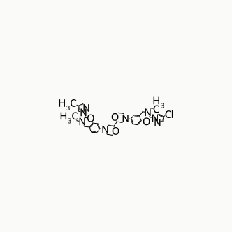 CCN(Cc1ccc(N2CCOC(C3CN(c4cccc(CN(CC)C(=O)n5cc(Cl)cn5)c4)CCO3)C2)cc1)C(=O)n1cc(C)cn1